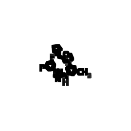 Cc1cc(Nc2ncn(-c3cc(F)cc(F)c3)n2)cc(N2CCOC(CN3CCCC3)C2)c1